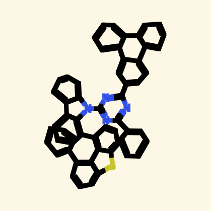 c1ccc(-c2nc(-c3ccc4c5ccccc5c5ccccc5c4c3)nc(-n3c4ccccc4c4cccc(-c5cccc6sc7cccc(-c8ccccc8)c7c56)c43)n2)cc1